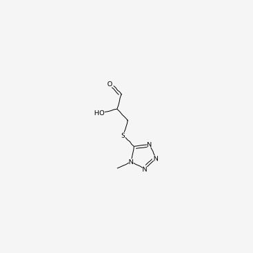 Cn1nnnc1SCC(O)C=O